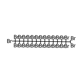 Br[C](Br)C(Br)(Br)C(Br)(Br)C(Br)(Br)C(Br)(Br)C(Br)(Br)C(Br)(Br)C(Br)(Br)C(Br)(Br)C(Br)(Br)C(Br)(Br)C(Br)(Br)C(Br)(Br)C(Br)(Br)Br